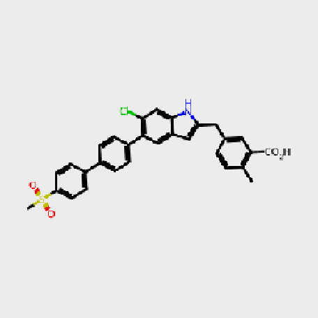 Cc1ccc(Cc2cc3cc(-c4ccc(-c5ccc(S(C)(=O)=O)cc5)cc4)c(Cl)cc3[nH]2)cc1C(=O)O